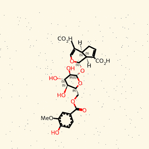 COc1cc(C(=O)OC[C@H]2O[C@@H](O[C@@H]3OC=C(C(=O)O)[C@H]4CC=C(C(=O)O)[C@@H]34)[C@H](O)[C@@H](O)[C@@H]2O)ccc1O